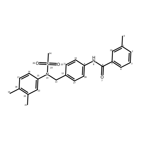 Cc1cccc(C(=O)Nc2ccc(CN(c3ccc(C)c(C)c3)S(C)(=O)=O)cc2)c1